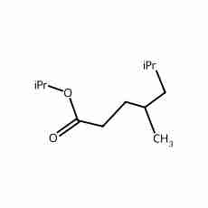 CC(C)CC(C)CCC(=O)OC(C)C